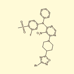 CC(C)c1noc(C2CCN(c3ncnc(N(c4ccccc4)c4ccc(S(C)(=O)=O)c(F)c4)c3[N+](=O)[O-])CC2)n1